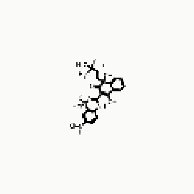 CC(C)(C)CCC1(C)C(=O)C(C2=NS(O)(O)c3cc(NCl)ccc3N2)=C(O)c2ccccc21